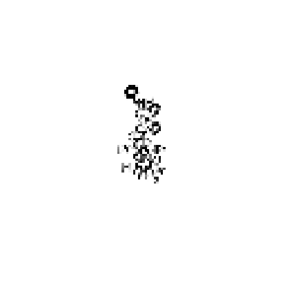 CC(C)[C@H](NC(=O)[C@H](C(C)C)N(C)C)C(=O)N(C)[C@H](C(=O)CC(=O)N1CCC[C@H]1C(=O)N1CCC[C@H]1C(=O)NCc1ccccc1)C(C)C